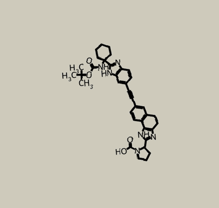 CC(C)(C)OC(=O)NC1(c2nc3ccc(C#Cc4ccc5c(c4)CCc4nc(C6CCCN6C(=O)O)[nH]c4-5)cc3[nH]2)CCCCC1